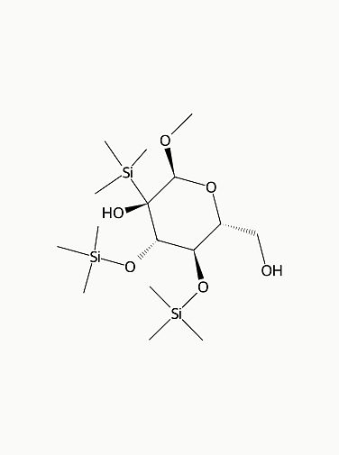 CO[C@H]1O[C@H](CO)[C@@H](O[Si](C)(C)C)[C@H](O[Si](C)(C)C)[C@]1(O)[Si](C)(C)C